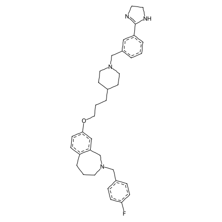 Fc1ccc(CN2CCCc3ccc(OCCCC4CCN(Cc5cccc(C6=NCCN6)c5)CC4)cc3C2)cc1